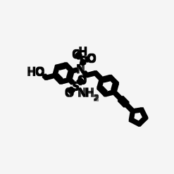 NS(=O)(=O)c1cc(CO)ccc1N(CCc1ccc(C#CC2CCCC2)cc1)[SH](=O)=O